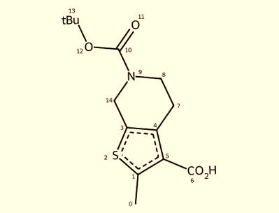 Cc1sc2c(c1C(=O)O)CCN(C(=O)OC(C)(C)C)C2